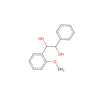 COc1ccccc1C(O)C(O)c1ccccc1